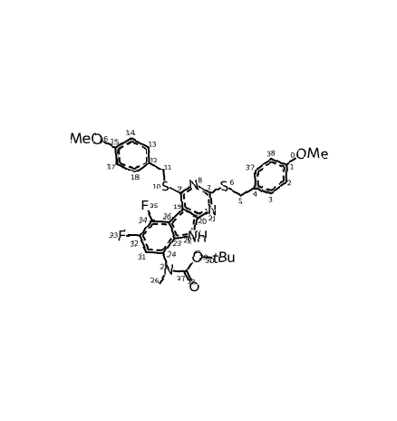 COc1ccc(CSc2nc(SCc3ccc(OC)cc3)c3c(n2)[nH]c2c(N(C)C(=O)OC(C)(C)C)cc(F)c(F)c23)cc1